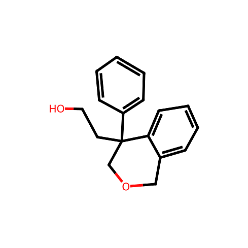 OCCC1(c2ccccc2)COCc2ccccc21